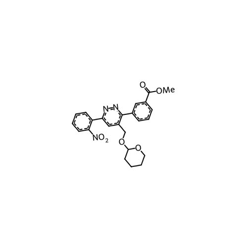 COC(=O)c1cccc(-c2nnc(-c3ccccc3[N+](=O)[O-])cc2COC2CCCCO2)c1